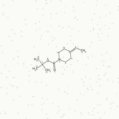 CC=C1CCN(C(=O)OC(C)(C)C)CC1